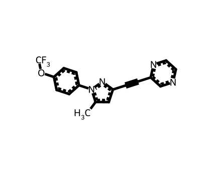 Cc1cc(C#Cc2cnccn2)nn1-c1ccc(OC(F)(F)F)cc1